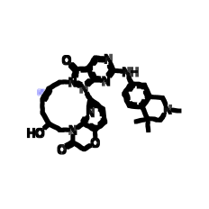 CN1Cc2cc(Nc3ncc4c(=O)n5n(c4n3)-c3ccc4c(n3)N(CC(O)C/C=C\C5)C(=O)CO4)ccc2C(C)(C)C1